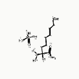 CCCCCCCCCCCCCCCCC(CC)(C(N)=O)N(CC)CC.O=P(O)(O)O